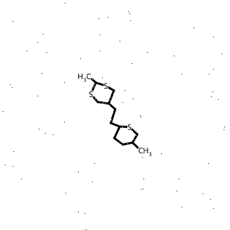 CC1CCC(CCC2CSC(C)SC2)SC1